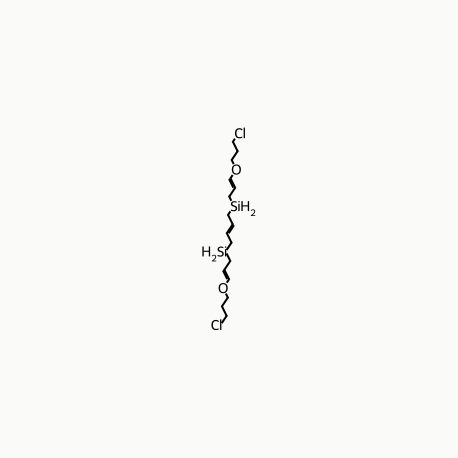 ClCCCOC=CC[SiH2]CC=CC[SiH2]CC=COCCCCl